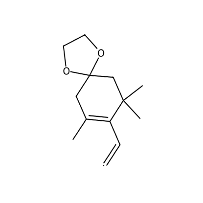 [CH]=CC1=C(C)CC2(CC1(C)C)OCCO2